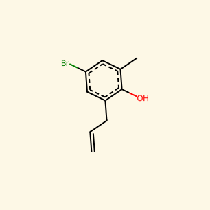 C=CCc1cc(Br)cc(C)c1O